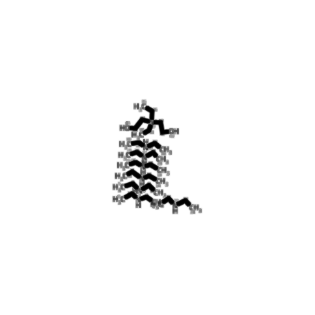 CCNCC.CCNCC.CCNCC.CCNCC.CCNCC.CCNCC.CCNCC.CC[N+](CC)(CCO)CCO